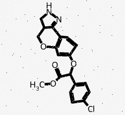 COC(=O)C(Oc1ccc2c(c1)OCC1CNN=C21)c1ccc(Cl)cc1